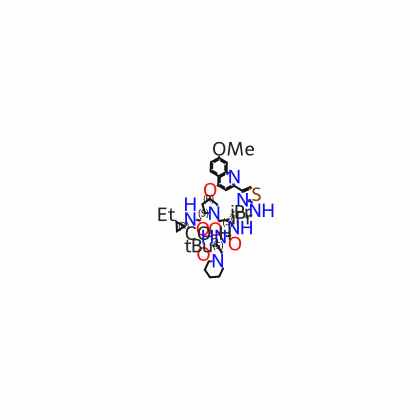 CCC1C[C@]1(NC(=O)[C@@H]1C[C@@H](Oc2cc(-c3csc(NC(C)C)n3)nc3cc(OC)ccc23)CN1C(=O)[C@@H](NC(=O)N[C@H](CN1CCCCC1=O)C(C)(C)C)C(C)C)C(=O)O